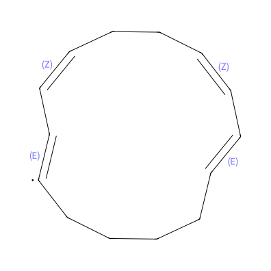 [C]1=C/C=C\CC/C=C\C=C\CCCC/1